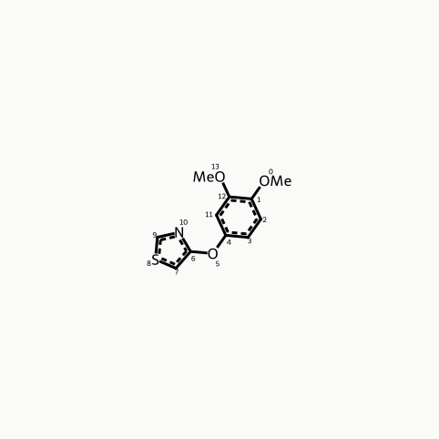 COc1ccc(Oc2cs[c]n2)cc1OC